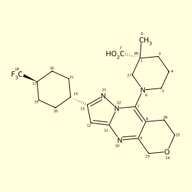 C[C@@]1(C(=O)O)CCCN(c2c3c(nc4cc([C@H]5CC[C@H](C(F)(F)F)CC5)nn24)COCC3)C1